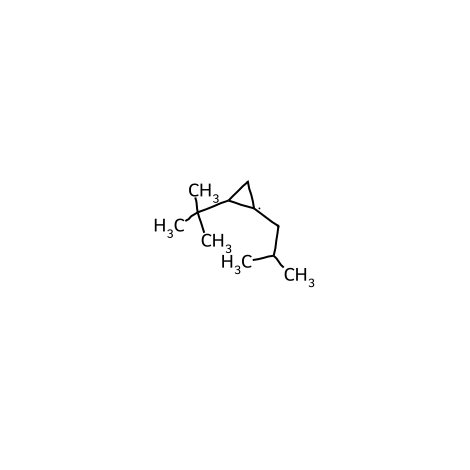 CC(C)C[C]1CC1C(C)(C)C